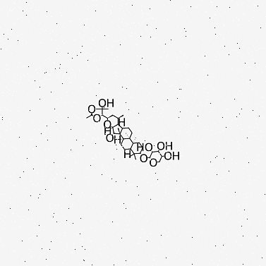 CC(=O)O[C@@H]([C@H]1C[C@@H](C)[C@H]2[C@H](O1)C(=O)[C@@]1(C)[C@@H]3CC[C@H]4C(C)(C)[C@@H](O[C@@H]5OC[C@H](O)[C@H](O)[C@H]5O)CC[C@]4(C)[C@]3(C)CC[C@]21C)C(C)(C)O